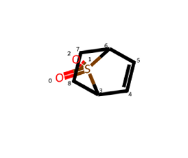 O=S1(=O)C2C=CC1CC2